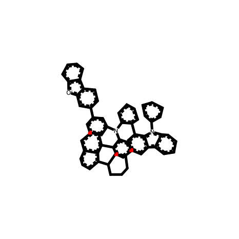 c1ccc(-n2c3ccccc3c3cccc(-c4ccccc4N(c4cccc(-c5ccc6c(c5)oc5ccccc56)c4)c4ccccc4-c4cccc5cccc(C6CCCCC6)c45)c32)cc1